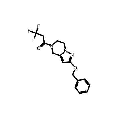 O=C(CC(F)(F)F)N1CCn2nc(OCc3ccccc3)cc2C1